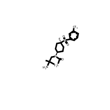 CC(C)(N)CN(C(=O)C(F)(F)F)[C@H]1CC[C@@](F)(S(=O)(=O)c2cccc(C(F)(F)F)c2)CC1